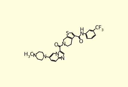 CN1CCN(c2ccc3ncc(C(=O)N4CCc5c(C(=O)Nc6cccc(C(F)(F)F)c6)csc5C4)n3c2)CC1